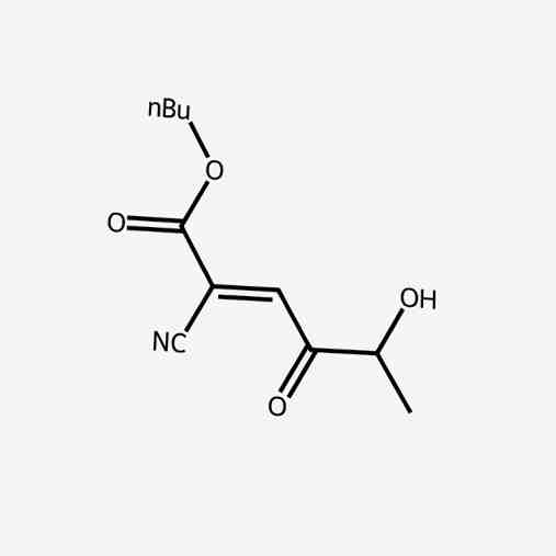 CCCCOC(=O)C(C#N)=CC(=O)C(C)O